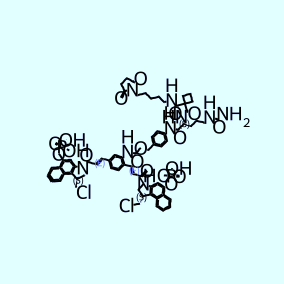 NC(=O)NCCC[C@H](NC(=O)C1(C(=O)NCCCCCN2C(=O)CCC2=O)CCC1)C(=O)Nc1ccc(COC(=O)Nc2cc(/C=C/C(=O)N3C[C@@H](CCl)c4c3cc(OP(=O)(O)O)c3cc#ccc43)ccc2/C=C/C(=O)N2C[C@@H](CCl)c3c2cc(OP(=O)(O)O)c2ccccc32)cc1